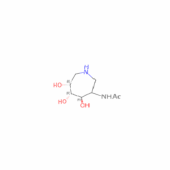 CC(=O)NC1CNC[C@@H](O)[C@@H](O)[C@@H]1O